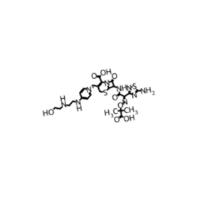 CC(C)(O/N=C(\C(=O)NC1C(=O)N2C(C(=O)O)=C(C[n+]3ccc(NCCNCCO)cc3)CSC12)c1nsc(N)n1)C(=O)O